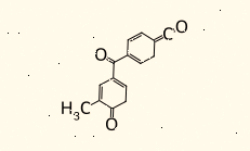 CC1=CC(C(=O)C2=CCC(=C=O)C=C2)=CCC1=O